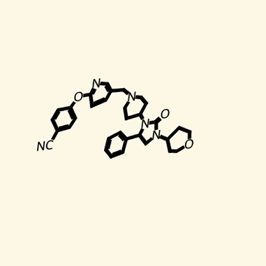 N#Cc1ccc(Oc2ccc(CN3CCC(N4C(=O)N(C5CCOCC5)CC4c4ccccc4)CC3)cn2)cc1